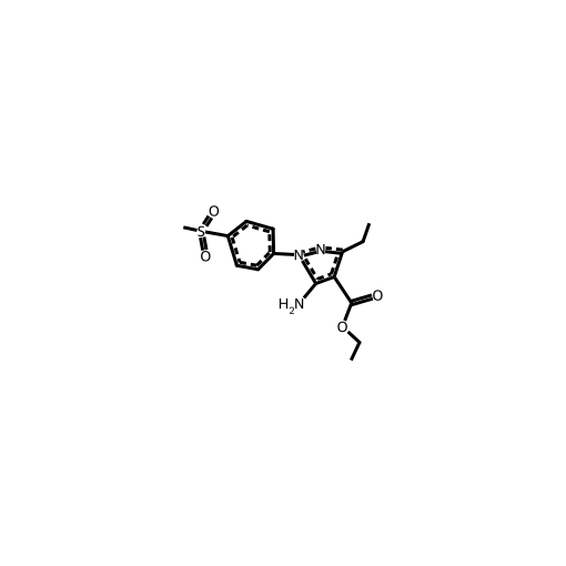 CCOC(=O)c1c(CC)nn(-c2ccc(S(C)(=O)=O)cc2)c1N